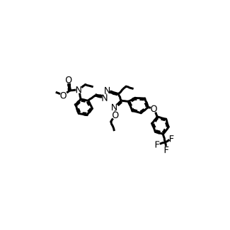 CCON=C(C(CC)=NN=Cc1ccccc1N(CC)C(=O)OC)c1ccc(Oc2ccc(C(F)(F)F)cc2)cc1